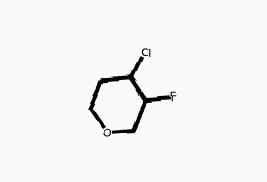 F[C]1COCCC1Cl